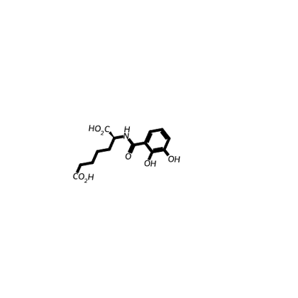 O=C(O)CCCC[C@H](NC(=O)c1cccc(O)c1O)C(=O)O